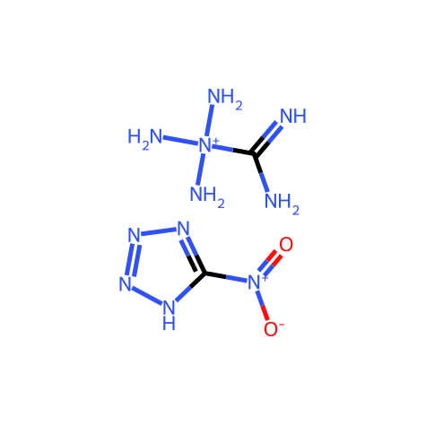 N=C(N)[N+](N)(N)N.O=[N+]([O-])c1nnn[nH]1